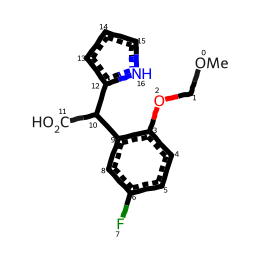 COCOc1ccc(F)cc1C(C(=O)O)c1ccc[nH]1